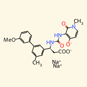 COc1cccc(-c2cc(C)cc([C@H](CC(=O)[O-])NC(=O)Nc3c([O-])ccn(C)c3=O)c2)c1.[Na+].[Na+]